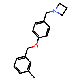 Cc1cccc(COc2ccc(CN3CCC3)cc2)c1